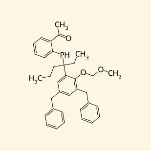 CCCC(CC)(Pc1ccccc1C(C)=O)c1cc(Cc2ccccc2)cc(Cc2ccccc2)c1OCOC